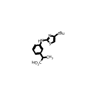 CC(C(=O)O)c1cccc(Nc2nc(C(C)(C)C)cs2)c1